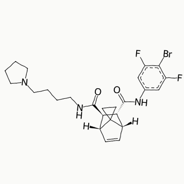 O=C(NCCCCN1CCCC1)[C@H]1[C@H](C(=O)Nc2cc(F)c(Br)c(F)c2)[C@@H]2C=C[C@H]1C21CC1